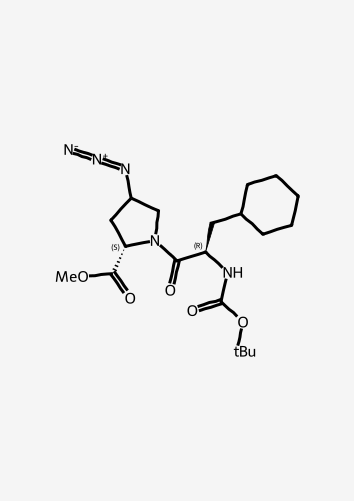 COC(=O)[C@@H]1CC(N=[N+]=[N-])CN1C(=O)[C@@H](CC1CCCCC1)NC(=O)OC(C)(C)C